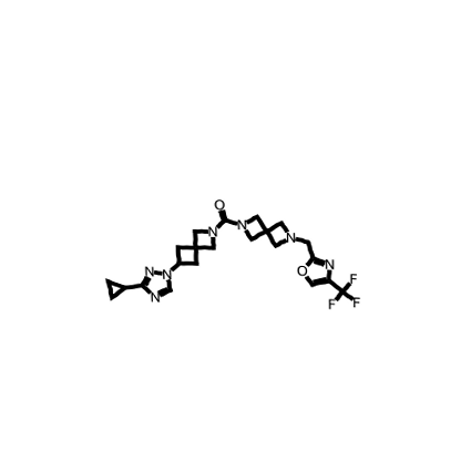 O=C(N1CC2(CC(n3cnc(C4CC4)n3)C2)C1)N1CC2(CN(Cc3nc(C(F)(F)F)co3)C2)C1